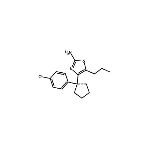 CCCc1sc(N)nc1C1(c2ccc(Cl)cc2)CCCC1